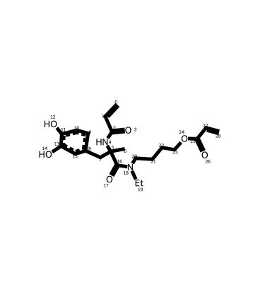 C=CC(=O)NC(C)(Cc1ccc(O)c(O)c1)C(=O)N(CC)CCCCOC(=O)C=C